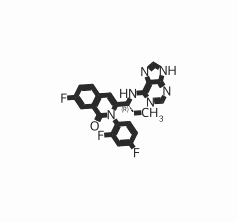 CC[C@@H](Nc1ncnc2[nH]cnc12)c1cc2ccc(F)cc2c(=O)n1-c1ccc(F)cc1F